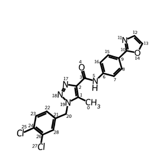 Cc1c(C(=O)Nc2ccc(-c3ncco3)cc2)nnn1Cc1ccc(Cl)c(Cl)c1